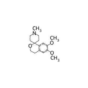 COc1cc2c(cc1OC)C1(CCN(C)CC1)OCC2